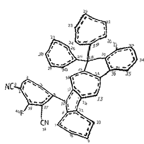 N#Cc1ccc(-n2c3ccccc3c3cc4c(cc32)C(c2ccccc2)(c2ccccc2)c2ccccc2-4)c(C#N)c1F